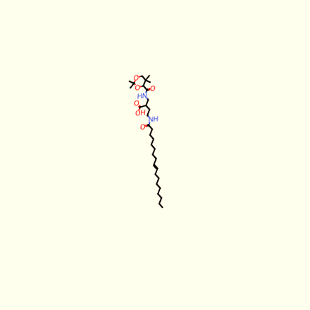 CCCCCCCCC=CCCCCCCCC(=O)NCCC(CNC(=O)C1OC(C)(C)OCC1(C)C)C(=O)O